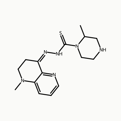 CC1CNCCN1C(=S)N/N=C1/CCN(C)c2cccnc21